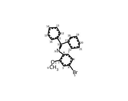 COc1cc(Br)ccc1N=C(c1ccccc1)c1ccccc1